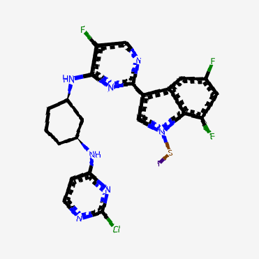 Fc1cc(F)c2c(c1)c(-c1ncc(F)c(N[C@@H]3CCC[C@H](Nc4ccnc(Cl)n4)C3)n1)cn2SI